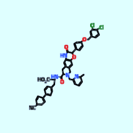 Cc1cccc(CN2Cc3cc4c(cc3CC2C(=O)NC(Cc2ccc(-c3ccc(C#N)cc3)cc2)C(=O)O)NC(=O)C(c2ccc(OCc3ccc(Cl)c(Cl)c3)cc2)O4)n1